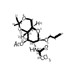 C=CCO[C@@H]1O[C@@H]2COC(C)(C)O[C@H]2[C@H](OC(C)=O)[C@H]1NC(=O)C(Cl)(Cl)Cl